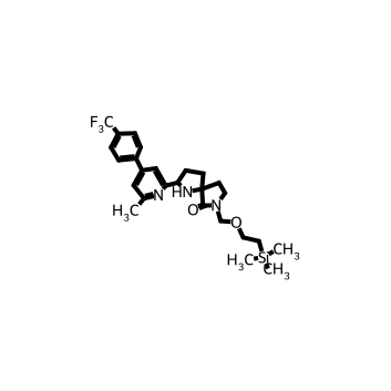 Cc1cc(-c2ccc(C(F)(F)F)cc2)cc(C2CCC3(CCN(COCC[Si](C)(C)C)C3=O)N2)n1